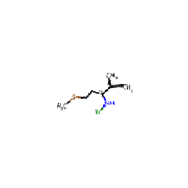 C=C(C)[C@H](CCSC)NBr